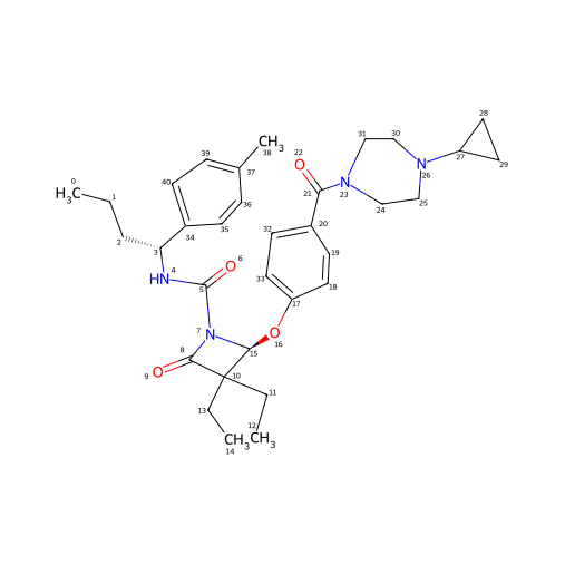 CCC[C@@H](NC(=O)N1C(=O)C(CC)(CC)[C@@H]1Oc1ccc(C(=O)N2CCN(C3CC3)CC2)cc1)c1ccc(C)cc1